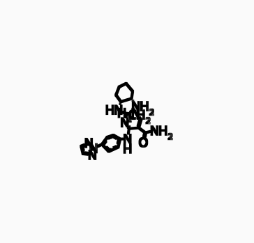 C=C(/N=C(Nc1ccc(-n2nccn2)cc1)\C(=C/N)C(N)=O)N[C@@H]1CCCC[C@@H]1N